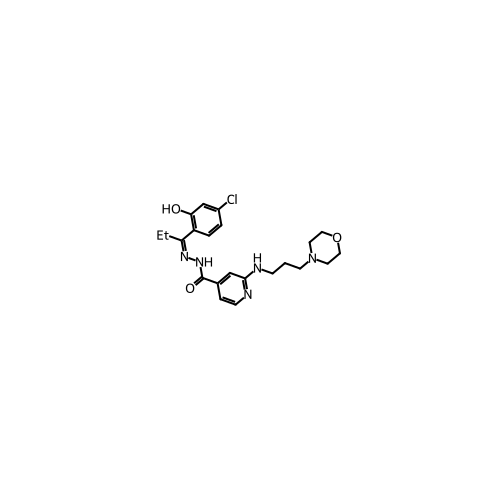 CCC(=NNC(=O)c1ccnc(NCCCN2CCOCC2)c1)c1ccc(Cl)cc1O